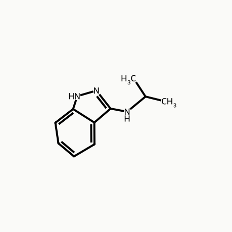 CC(C)Nc1n[nH]c2ccccc12